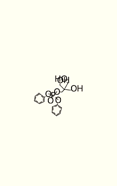 O=P(OCC(CO)(CO)CO)(Oc1ccccc1)Oc1ccccc1